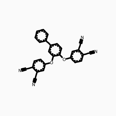 N#Cc1ccc(Oc2ccc(-c3ccccc3)cc2Oc2ccc(C#N)c(C#N)c2)cc1C#N